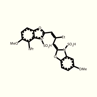 CCCc1c(OC)ccc2oc(C=C(C=C3Oc4ccc(OC)cc4N3S(=O)(=O)O)CC)[n+](S(=O)(=O)O)c12